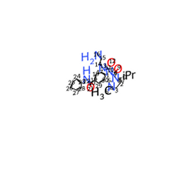 CC(C)[C@@H]1CCN(C)CN1C(=O)n1c(=O)n(CCN)c2cc(C(=O)Nc3ccccc3)ccc21